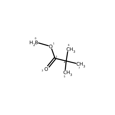 BOC(=O)C(C)(C)C